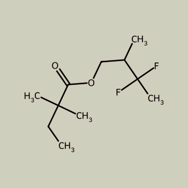 CCC(C)(C)C(=O)OCC(C)C(C)(F)F